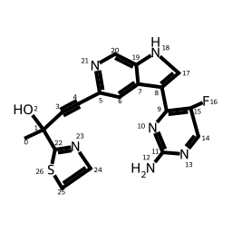 CC(O)(C#Cc1cc2c(-c3nc(N)ncc3F)c[nH]c2cn1)c1nccs1